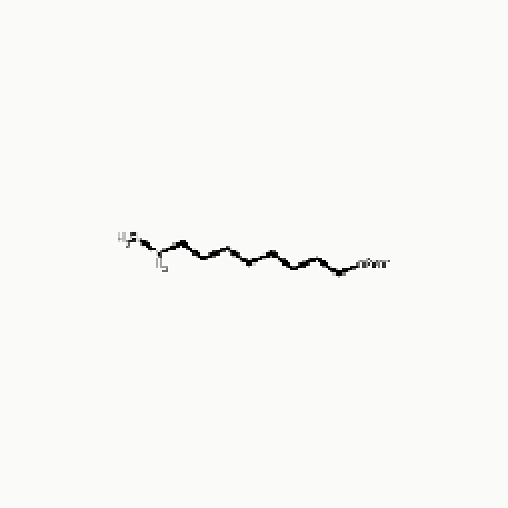 CCCCCCCCCCCCC[SiH2][SiH3]